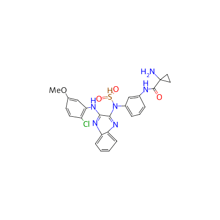 COc1ccc(Cl)c(Nc2nc3ccccc3nc2N(c2cccc(NC(=O)C3(N)CC3)c2)[SH](=O)=O)c1